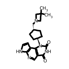 CC1(C)CN(C[C@H]2CC[C@H](n3c(=O)[nH]c(=O)c4cnc5[nH]ccc5c43)CC2)C1